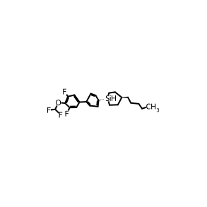 CCCCC[C@H]1CC[Si@H](c2ccc(-c3cc(F)c(OC(F)F)c(F)c3)cc2)CC1